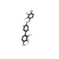 CCCCc1ccc(-c2ccc(CCc3ccc(CC)c(F)c3F)cc2)c(F)c1F